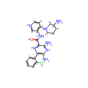 Nc1nc(N)c(-c2ccccc2Cl)nc1C(=O)Nc1cnccc1N1CCCC(N)C1